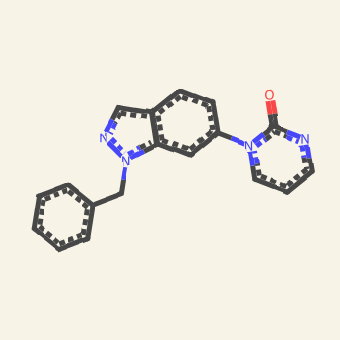 O=c1ncccn1-c1ccc2cnn(Cc3ccccc3)c2c1